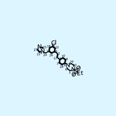 CCS(=O)(=O)N1CCN(c2ccc(C=Cc3cc(Cl)cc(Cn4ccnc4)c3)cc2)CC1